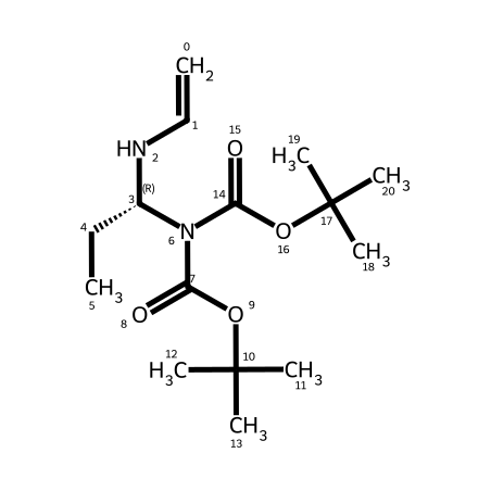 C=CN[C@@H](CC)N(C(=O)OC(C)(C)C)C(=O)OC(C)(C)C